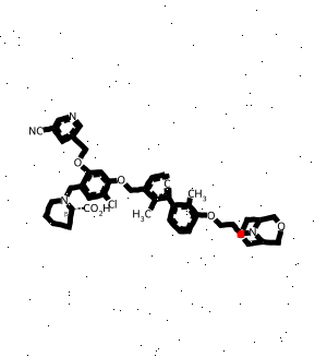 Cc1c(COc2cc(OCc3cncc(C#N)c3)c(CN3CCCC[C@H]3C(=O)O)cc2Cl)cccc1-c1cccc(OCCCN2C3COCC2COC3)c1C